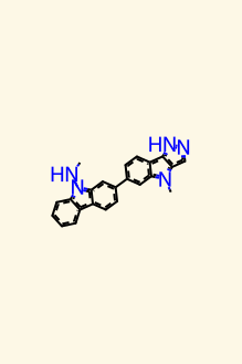 CNn1c2ccccc2c2ccc(-c3ccc4c5[nH]ncc5n(C)c4c3)cc21